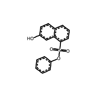 O=S(=O)(Oc1ccccc1)c1cccc2ccc(O)cc12